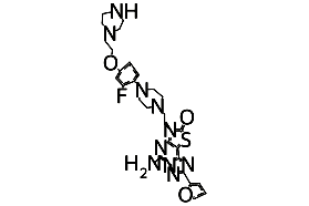 Nc1nc2c(sc(=O)n2CCN2CCN(c3ccc(OCCN4CCNCC4)cc3F)CC2)c2nc(-c3ccco3)nn12